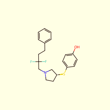 Oc1ccc(S[C@H]2CCN(CC(F)(F)CCc3ccccc3)C2)cc1